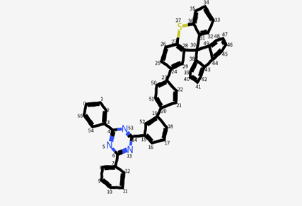 c1ccc(-c2nc(-c3ccccc3)nc(-c3cccc(-c4ccc(-c5ccc6c(c5)C5(c7ccccc7S6)c6ccccc6-c6ccccc65)cc4)c3)n2)cc1